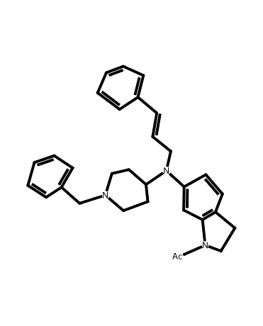 CC(=O)N1CCc2ccc(N(CC=Cc3ccccc3)C3CCN(Cc4ccccc4)CC3)cc21